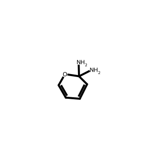 NC1(N)C=CC=CO1